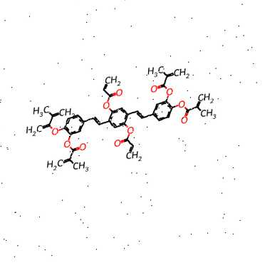 C=CC(=O)Oc1cc(/C=C/c2ccc(OC(=O)C(=C)C)c(OC(=O)C(=C)C)c2)c(OC(=O)C=C)cc1/C=C/c1ccc(OC(=C)C(=C)C)c(OC(=O)C(=C)C)c1